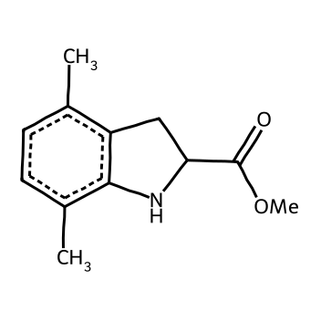 COC(=O)C1Cc2c(C)ccc(C)c2N1